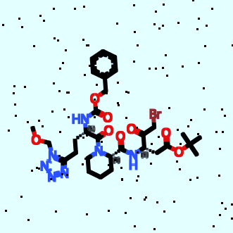 COCn1nnnc1CC[C@H](NC(=O)OCc1ccccc1)C(=O)N1CCCC[C@H]1C(=O)N[C@@H](CC(=O)OC(C)(C)C)C(=O)CBr